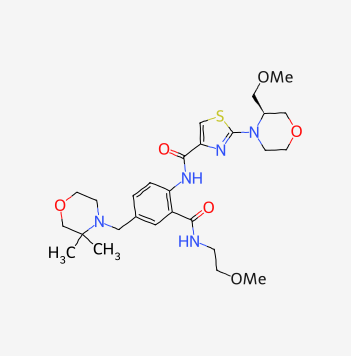 COCCNC(=O)c1cc(CN2CCOCC2(C)C)ccc1NC(=O)c1csc(N2CCOC[C@@H]2COC)n1